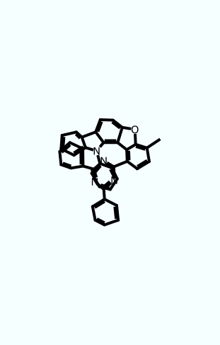 Cc1ccc(-c2nc(-c3ccccc3)nc(-c3ccccc3)n2)c2c1oc1ccc3c4ccccc4n(-c4ccccc4)c3c12